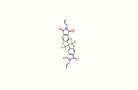 C=CCN1C(=O)c2ccc(C(c3ccc4c(c3)C(=O)N(CC=C)C4=O)(C(F)(F)F)C(F)(F)F)cc2C1=O